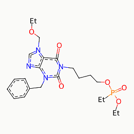 CCOCn1cnc2c1c(=O)n(CCCCOP(=O)(CC)OCC)c(=O)n2Cc1ccccc1